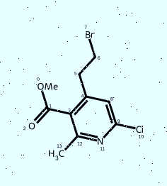 COC(=O)c1c(CCBr)cc(Cl)nc1C